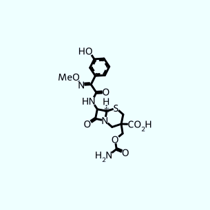 CON=C(C(=O)NC1C(=O)N2CC(COC(N)=O)(C(=O)O)CS[C@H]12)c1cccc(O)c1